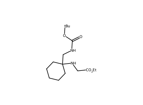 CCOC(=O)CNC1(CNC(=O)OC(C)(C)C)CCCCC1